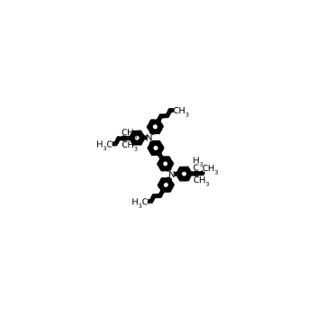 CCCCc1ccc(N(c2ccc(-c3ccc(N(c4ccc(CCCC)cc4)c4ccc(C(C)(C)CCC)cc4)cc3)cc2)c2ccc(C(C)(C)CC)cc2)cc1